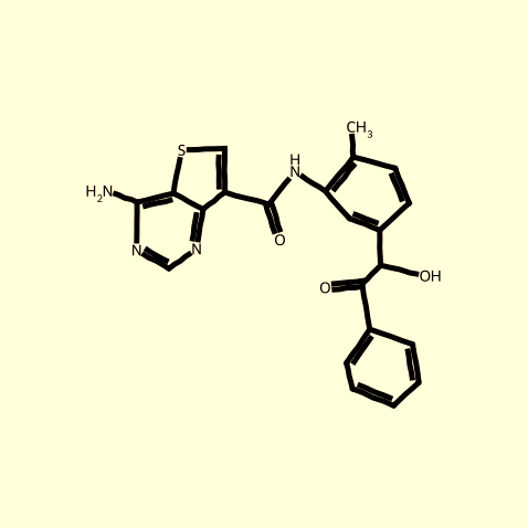 Cc1ccc(C(O)C(=O)c2ccccc2)cc1NC(=O)c1csc2c(N)ncnc12